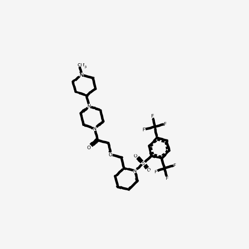 CN1CCC(N2CCN(C(=O)COCC3CCCCN3S(=O)(=O)c3cc(C(F)(F)F)ccc3C(F)(F)F)CC2)CC1